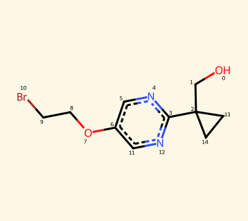 OCC1(c2ncc(OCCBr)cn2)CC1